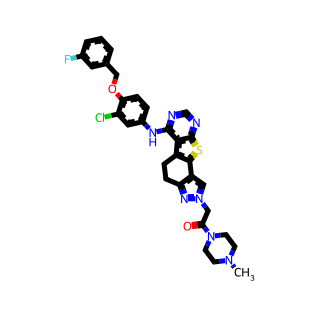 CN1CCN(C(=O)Cn2cc3c(n2)CCc2c-3sc3ncnc(Nc4ccc(OCc5cccc(F)c5)c(Cl)c4)c23)CC1